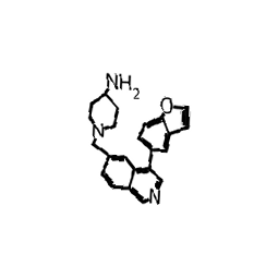 NC1CCN(Cc2ccc3cncc(-c4ccc5occc5c4)c3c2)CC1